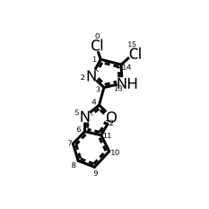 Clc1nc(-c2nc3ccccc3o2)[nH]c1Cl